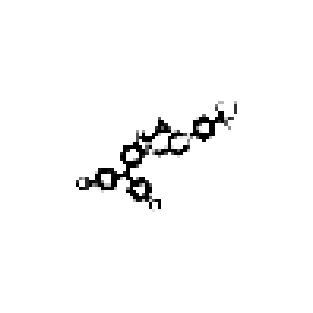 O=C(O)c1ccc(N2CCC(Cn3c(C4CC4)nc4ccc(C(c5ccc(Cl)cc5)c5ccc(Cl)cc5)cc43)CC2)cc1